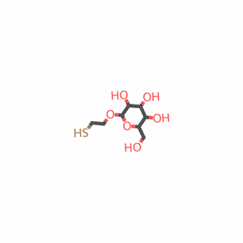 OCC1OC(OCCS)C(O)C(O)C1O